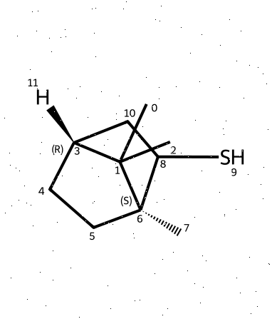 CC1(C)[C@@H]2CC[C@]1(C)C(S)C2